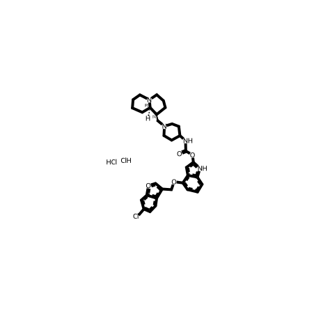 Cl.Cl.O=C(NC1CCN(C[C@@H]2CCCN3CCCC[C@H]23)CC1)Oc1cc2c(OCc3coc4cc(Cl)ccc34)cccc2[nH]1